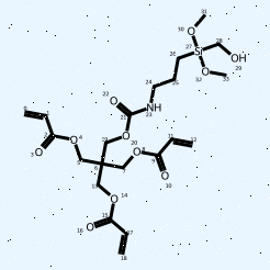 C=CC(=O)OCC(COC(=O)C=C)(COC(=O)C=C)COC(=O)NCCC[Si](CO)(OC)OC